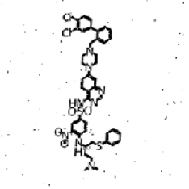 CN(C)CC[C@H](CSc1ccccc1)Nc1ccc(S(=O)(=O)Nc2ncnc3cc(N4CCN(Cc5ccccc5-c5ccc(Cl)c(Cl)c5)CC4)ccc23)cc1[N+](=O)[O-]